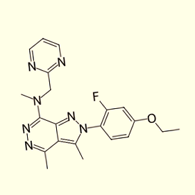 CCOc1ccc(-n2nc3c(N(C)Cc4ncccn4)nnc(C)c3c2C)c(F)c1